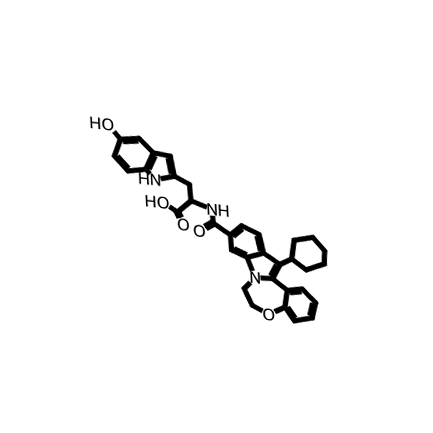 O=C(NC(Cc1cc2cc(O)ccc2[nH]1)C(=O)O)c1ccc2c(C3CCCCC3)c3n(c2c1)CCOc1ccccc1-3